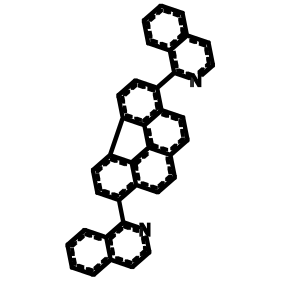 c1ccc2c(-c3ccc4c5c3ccc3ccc6c(-c7nccc8ccccc78)ccc-4c6c35)nccc2c1